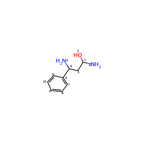 NC(O)CC(N)c1ccccc1